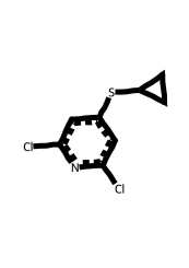 Clc1cc(SC2CC2)cc(Cl)n1